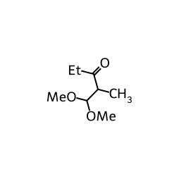 CCC(=O)C(C)C(OC)OC